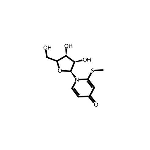 CSc1cc(=O)ccn1[C@H]1OC(CO)[C@@H](O)[C@H]1O